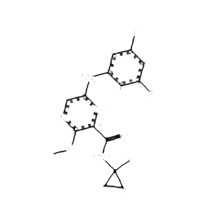 COc1ncc(Nc2cc(F)cc(F)c2)nc1C(=O)NC1(C)CC1